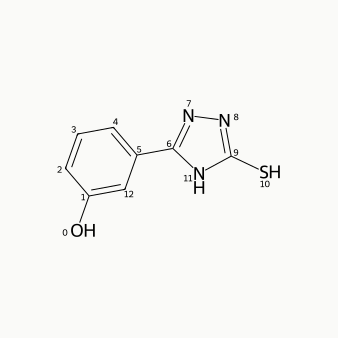 Oc1cccc(-c2nnc(S)[nH]2)c1